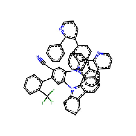 N#Cc1cc(-n2c3ccccc3c3ccc(-c4cccnc4-c4ccccc4)cc32)c(-n2c3ccccc3c3ccc(-c4cccnc4-c4ccccc4)cc32)cc1-c1ccccc1C(F)(F)F